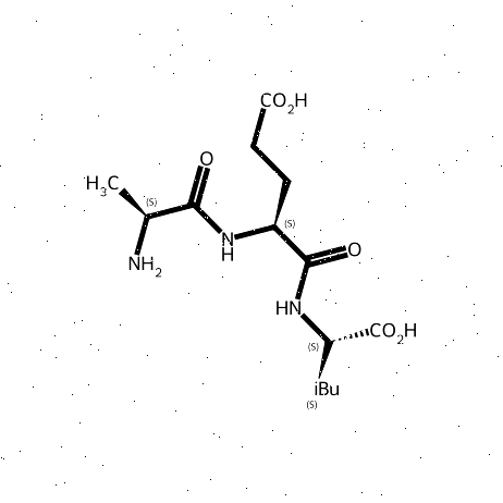 CC[C@H](C)[C@H](NC(=O)[C@H](CCC(=O)O)NC(=O)[C@H](C)N)C(=O)O